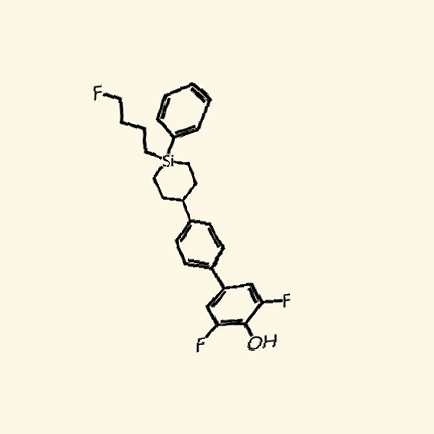 Oc1c(F)cc(-c2ccc(C3CC[Si](CCCCF)(c4ccccc4)CC3)cc2)cc1F